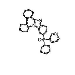 O=P(c1ccccc1)(c1cccnc1)c1ccc2nc3c4ccccc4c4ccccc4n3c2c1